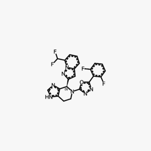 Fc1cccc(F)c1-c1nnc(N2CCc3[nH]cnc3[C@H]2c2cc3cccc(C(F)F)n3n2)o1